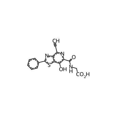 C#Cc1nc(C(=O)NCC(=O)O)c(O)c2sc(-c3ccccc3)nc12